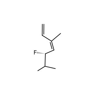 C=C/C(C)=C\[C@@H](F)C(C)C